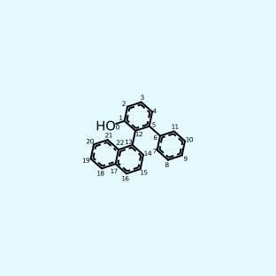 Oc1cccc(-c2ccccc2)c1-c1cccc2ccccc12